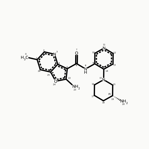 Cc1cnc2c(C(=O)Nc3cnccc3N3CCC[C@@H](N)C3)c(N)oc2c1